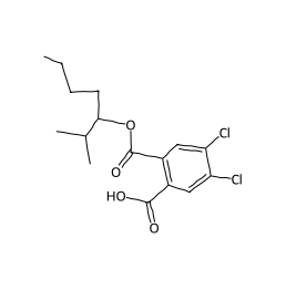 CCCCC(OC(=O)c1cc(Cl)c(Cl)cc1C(=O)O)C(C)C